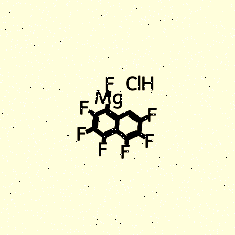 Cl.[F][Mg][c]1c(F)c(F)c(F)c2c(F)c(F)c(F)cc12